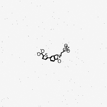 COC(OC)c1ccc(-c2ccc3c(c2)CN(CCCOS(C)(=O)=O)C3=O)s1